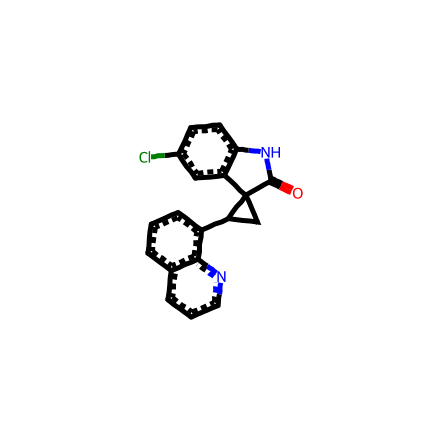 O=C1Nc2ccc(Cl)cc2C12CC2c1cccc2cccnc12